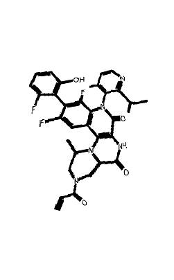 C=CC(=O)N1CC(C)N2c3c(c(=O)n(-c4c(C)ccnc4C(C)C)c4c(F)c(-c5c(O)cccc5F)c(F)cc34)NC(=O)C2C1